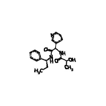 CC[C@H](NC(=O)C(NC(=O)C(C)O)c1cccnc1)c1ccccc1